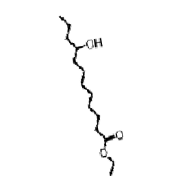 CCCC(O)CCCCCCCC(=O)OCC